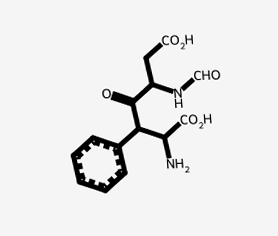 NC(C(=O)O)C(C(=O)C(CC(=O)O)NC=O)c1ccccc1